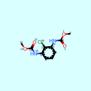 COC(=O)Nc1cccc(NC(=O)OC)c1Cl